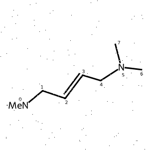 C[N]CC=CCN(C)C